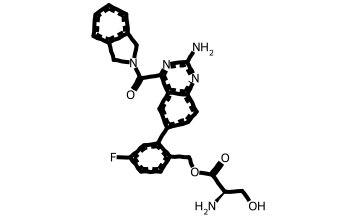 Nc1nc(C(=O)N2Cc3ccccc3C2)c2cc(-c3cc(F)ccc3COC(=O)[C@H](N)CO)ccc2n1